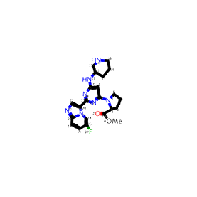 COC(=O)C1CCCN1c1cc(NC2CCCNC2)nc(-c2cnc3ccc(F)cn23)n1